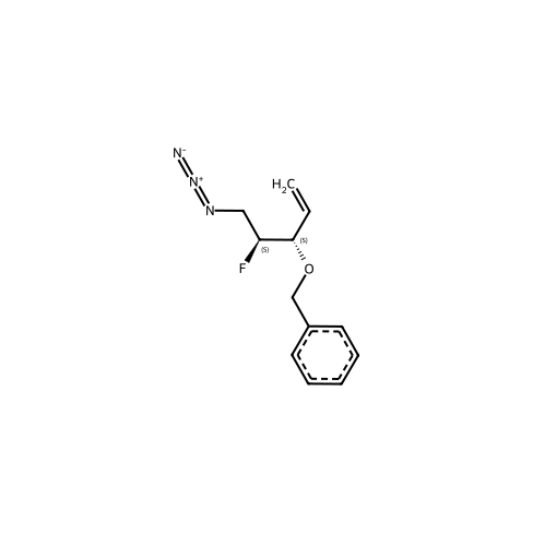 C=C[C@H](OCc1ccccc1)[C@@H](F)CN=[N+]=[N-]